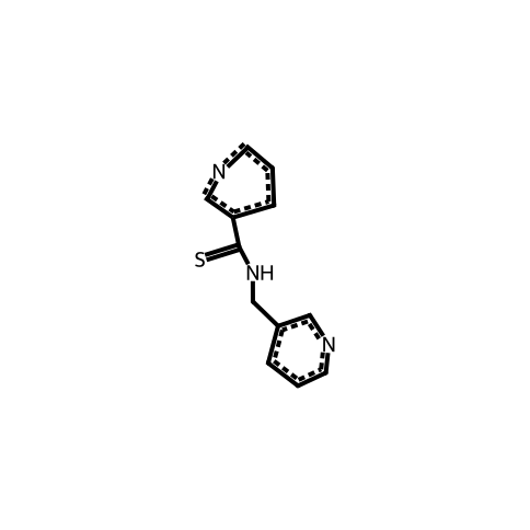 S=C(NCc1cccnc1)c1cccnc1